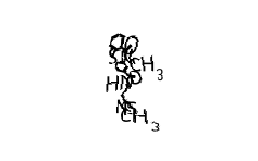 CCN1C(=O)c2ccccc2Sc2ccc(C(=O)NCCc3csc(C)n3)cc21